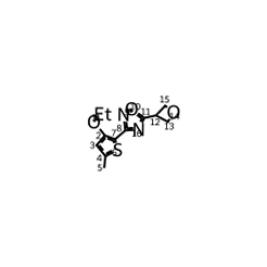 CCOc1cc(C)sc1-c1noc(C2COC2)n1